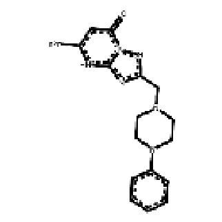 CCCc1cc(=O)n2nc(CN3CCN(c4ccccc4)CC3)nc2[nH]1